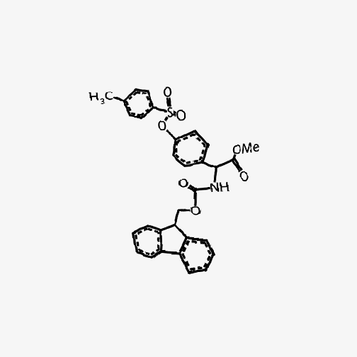 COC(=O)C(NC(=O)OCC1c2ccccc2-c2ccccc21)c1ccc(OS(=O)(=O)c2ccc(C)cc2)cc1